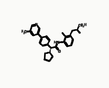 Cc1c(C[C@H](C)C(=O)O)cccc1NC(=O)[C@@H](c1ccc(-c2cncc(C(F)(F)F)c2)cc1)C1CCCC1